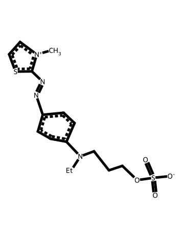 CCN(CCCOS(=O)(=O)[O-])c1ccc(N=Nc2scc[n+]2C)cc1